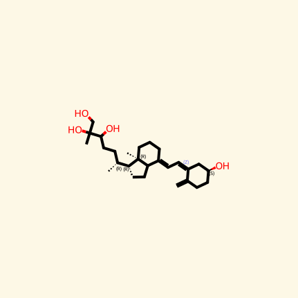 C=C1CC[C@H](O)C/C1=C/C=C1CCC[C@@]2(C)C1CC[C@@H]2[C@H](C)CCC(O)C(C)(O)CO